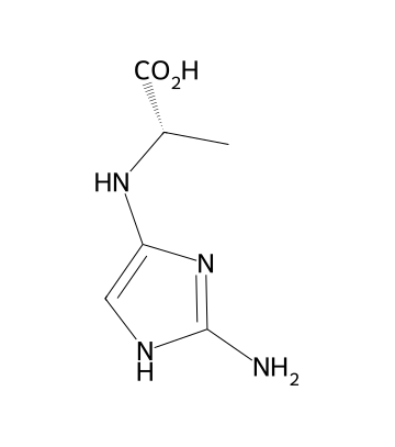 C[C@H](Nc1c[nH]c(N)n1)C(=O)O